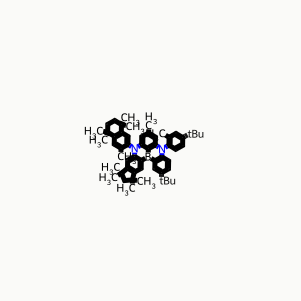 Cc1cc2c3c(c1)N(c1cc4c(cc1C)C(C)(C)CCC4(C)C)c1cc4c(cc1B3c1cc(C(C)(C)C)ccc1N2c1ccc(C(C)(C)C)cc1C)C(C)(C)CC4(C)C